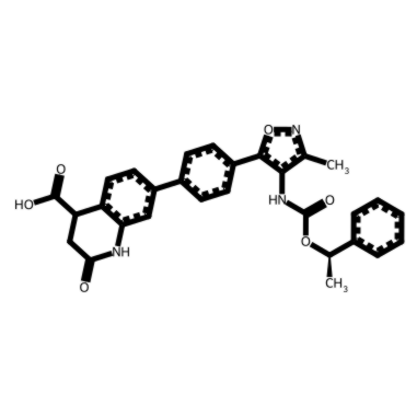 Cc1noc(-c2ccc(-c3ccc4c(c3)NC(=O)CC4C(=O)O)cc2)c1NC(=O)O[C@H](C)c1ccccc1